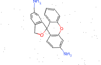 Nc1ccc2c(c1)Oc1ccccc1C21OCc2ccc(N)cc21